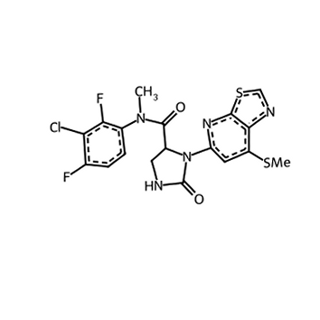 CSc1cc(N2C(=O)NCC2C(=O)N(C)c2ccc(F)c(Cl)c2F)nc2scnc12